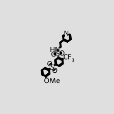 COc1cccc(S(=O)(=O)c2ccc(C(F)(F)F)c(S(=O)(=O)NCCc3cccnc3)c2)c1